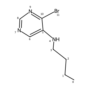 CCCCNc1cncnc1Br